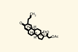 C=CCC1C[C@H]2C(=CC1=O)CC[C@@H]1[C@@H]2CC[C@]2(CC)[C@@H](C(=O)COC(C)=O)CC[C@@H]12